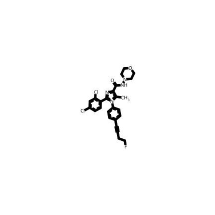 Cc1c(C(=O)NN2CCOCC2)nc(-c2ccc(Cl)cc2Cl)n1-c1ccc(C#CCCF)cc1